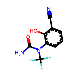 N#Cc1cccc(N(C(N)=O)C(F)(F)F)c1O